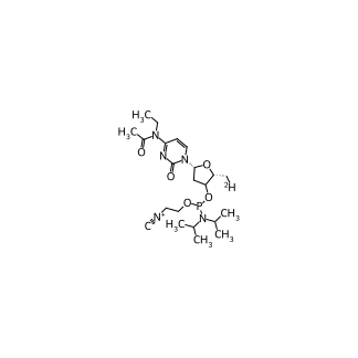 [2H]C[C@H]1O[C@@H](n2ccc(N(CC)C(C)=O)nc2=O)CC1OP(OCC[N+]#[C-])N(C(C)C)C(C)C